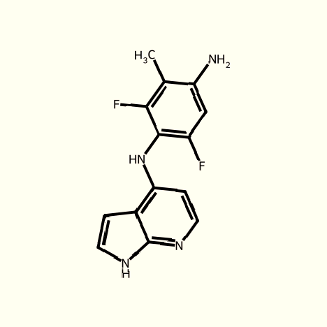 Cc1c(N)cc(F)c(Nc2ccnc3[nH]ccc23)c1F